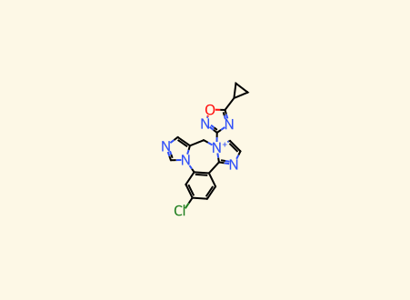 Clc1ccc2c(c1)-n1cncc1C[N+]1(c3noc(C4CC4)n3)C=CN=C21